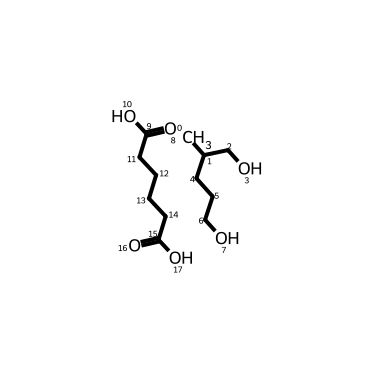 CC(CO)CCCO.O=C(O)CCCCC(=O)O